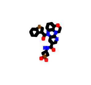 O=C(NC1CS(=O)(=O)C1)c1cnc(N2CCOc3ccccc32)c(NC(=O)c2csc3ccccc23)c1